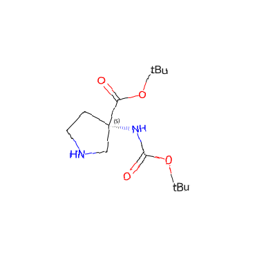 CC(C)(C)OC(=O)N[C@@]1(C(=O)OC(C)(C)C)CCNC1